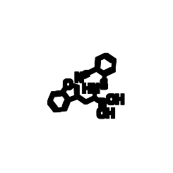 N#Cc1ccccc1SNC(Cc1coc2ccccc12)B(O)O